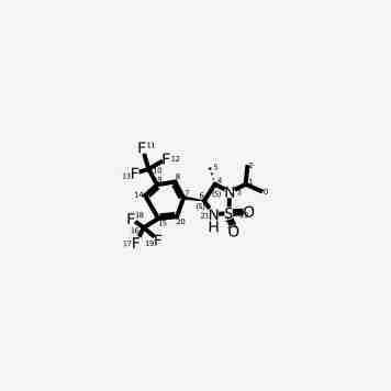 CC(C)N1[C@@H](C)[C@H](c2cc(C(F)(F)F)cc(C(F)(F)F)c2)NS1(=O)=O